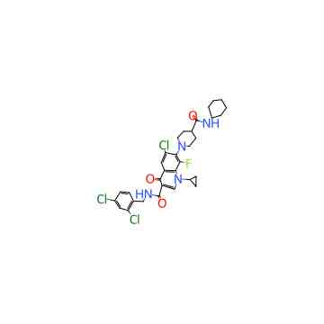 O=C(NCc1ccc(Cl)cc1Cl)c1cn(C2CC2)c2c(F)c(N3CCC(C(=O)NC4CCCCC4)CC3)c(Cl)cc2c1=O